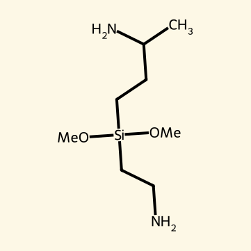 CO[Si](CCN)(CCC(C)N)OC